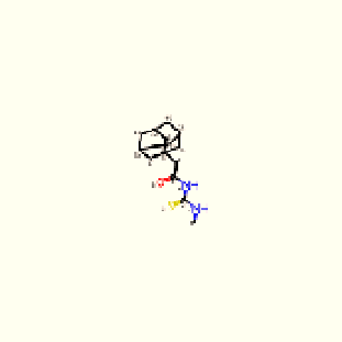 CNC(=S)NC(=O)CC12CC3CC(CC(C3)C1)C2